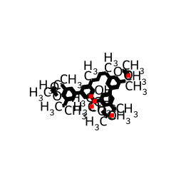 CC(=O)Oc1c(C(C)C)cc(-c2cc(C(C)C)c(O)c(C(C)CCC(C)c3cc(-c4cc(C(C)C)c(OC(C)=O)c(C(C)C)c4)cc(C(C)C)c3OC(C)=O)c2)cc1C(C)C